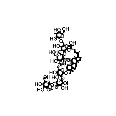 C[C@@H]1[C@@H](O)[C@H](OC[C@H]2O[C@@H](O[C@H](CC[C@@H](C)C3CC[C@@]4(C)C5CC=C6C(CC[C@H](O[C@@H]7O[C@H](CO)[C@@H](O)[C@H](O)[C@H]7O[C@H]7O[C@@H](CO[C@@H]8O[C@H](CO)[C@@H](O)[C@H](O)[C@H]8O)[C@H](O)[C@@H](O)[C@@H]7O)C6(C)C)[C@]5(C)[C@H](O)C[C@]34C)C(C)(C)O)[C@H](OC3O[C@@H](CO)[C@H](O)[C@@H](O)[C@@H]3O)[C@@H](O)[C@@H]2O)O[C@H](CO)[C@H]1O